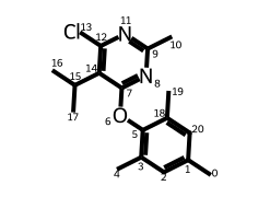 Cc1cc(C)c(Oc2nc(C)nc(Cl)c2C(C)C)c(C)c1